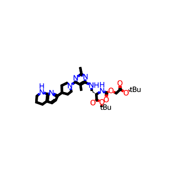 Cc1nc(NC[C@H](NC(=O)OCC(=O)OC(C)(C)C)C(=O)OC(C)(C)C)c(C)c(N2CCC(c3ccc4c(n3)NCCC4)CC2)n1